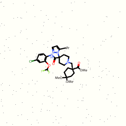 COC(=O)C1(CN2CCC(C(=O)Nc3ccc(Cl)cc3OC(F)F)(n3nccc3C(C)C)CC2)CCC(OC)(OC)CC1